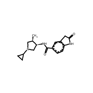 C[C@@H]1CN(C2CC2)C[C@@H]1NC(=O)c1ccc2c(c1)CC(=O)N2